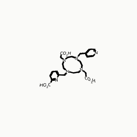 O=C(O)CN1CCN(Cc2ccncc2)CCN(CC(=O)O)CCN(Cc2cccc(C(=O)O)n2)CC1